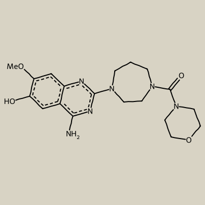 COc1cc2nc(N3CCCN(C(=O)N4CCOCC4)CC3)nc(N)c2cc1O